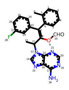 Cc1ccccc1/C(=C(\OC=O)C(C)n1cnc2c(N)ncnc21)c1cccc(F)c1